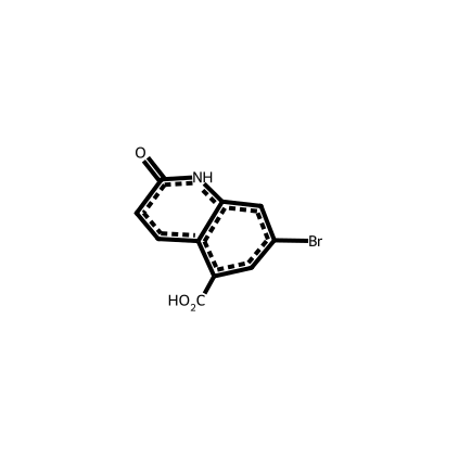 O=C(O)c1cc(Br)cc2[nH]c(=O)ccc12